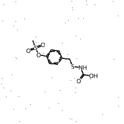 CS(=O)(=O)Oc1ccc(CSNC(=O)O)cc1